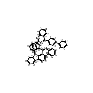 c1ccc(-c2ccc(-c3nc(-c4cccc(-n5c6ccccc6c6ccc7c8ccccc8nc(-c8ccccc8)c7c65)c4)nc4ccccc34)cc2)cc1